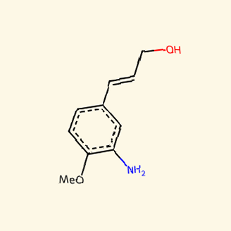 COc1ccc(C=CCO)cc1N